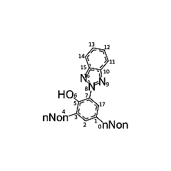 CCCCCCCCCc1cc(CCCCCCCCC)c(O)c(-n2nc3ccccc3n2)c1